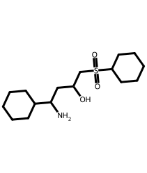 NC(CC(O)CS(=O)(=O)C1CCCCC1)C1CCCCC1